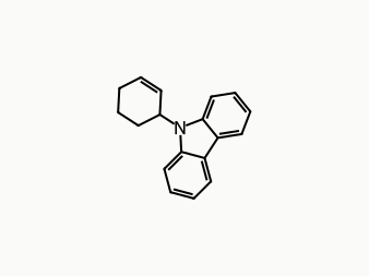 C1=CC(n2c3ccccc3c3ccccc32)CCC1